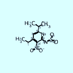 CCc1cc(C(C)C)nc(N=S(=O)=O)c1[N+](=O)[O-]